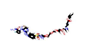 CN(C/C=C/C(=O)OC(C)(C)C)CCOCCOCCOCCOCCNS(=O)(=O)c1ccc(Nc2ncc(Br)c(Nc3cccc(F)c3C(N)=O)n2)cc1